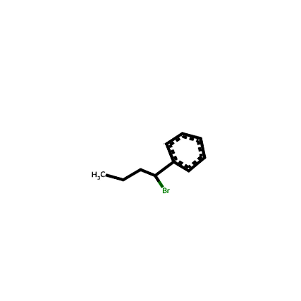 CCCC(Br)c1[c]cccc1